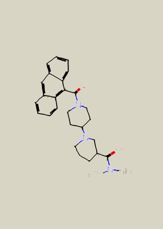 CCCN(CCC)C(=O)C1CCCN(C2CCN(C(=O)c3c4ccccc4cc4ccccc34)CC2)C1